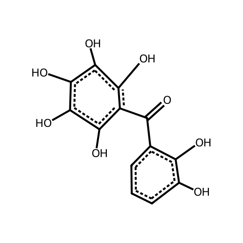 O=C(c1cccc(O)c1O)c1c(O)c(O)c(O)c(O)c1O